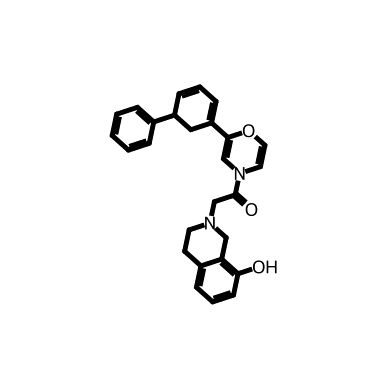 O=C(CN1CCc2cccc(O)c2C1)N1C=COC(C2=CC=CC(c3ccccc3)C2)=C1